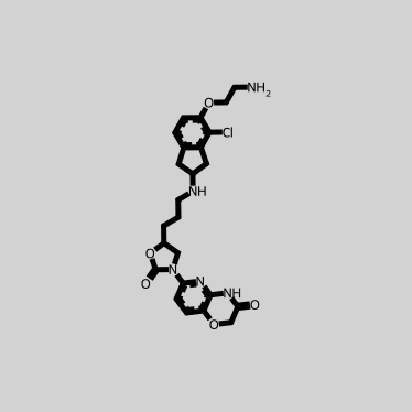 NCCOc1ccc2c(c1Cl)CC(NCCCC1CN(c3ccc4c(n3)NC(=O)CO4)C(=O)O1)C2